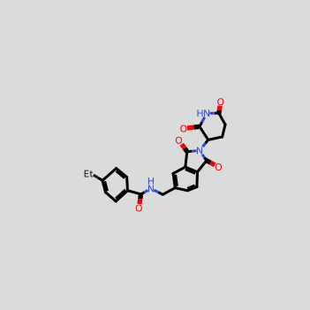 CCc1ccc(C(=O)NCc2ccc3c(c2)C(=O)N(C2CCC(=O)NC2=O)C3=O)cc1